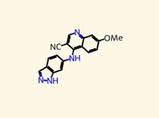 COc1ccc2c(Nc3ccc4cn[nH]c4c3)c(C#N)cnc2c1